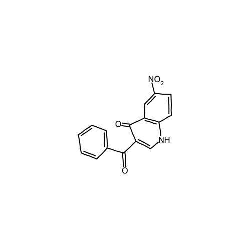 O=C(c1ccccc1)c1c[nH]c2ccc([N+](=O)[O-])cc2c1=O